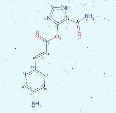 NC(=O)c1[nH]cnc1OC(=O)/C=C/c1ccc(N)cc1